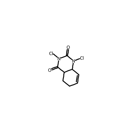 O=C1C2CCC=CC2N(Cl)C(=O)N1Cl